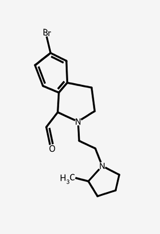 CC1CCCN1CCN1CCc2cc(Br)ccc2C1C=O